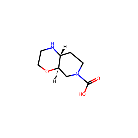 O=C(O)N1CC[C@H]2NCCO[C@@H]2C1